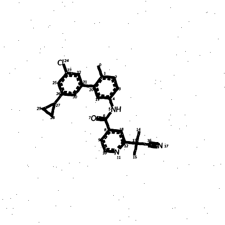 Cc1ccc(NC(=O)c2ccnc(C(C)(C)C#N)c2)cc1-c1cc(Cl)cc(C2CC2)c1